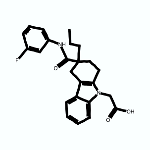 CCCC1(C(=O)Nc2cccc(F)c2)CCc2c(c3ccccc3n2CC(=O)O)C1